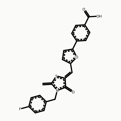 C=c1s/c(=C\c2ccc(-c3ccc(C(=O)O)cc3)o2)c(=O)n1Cc1ccc(F)cc1